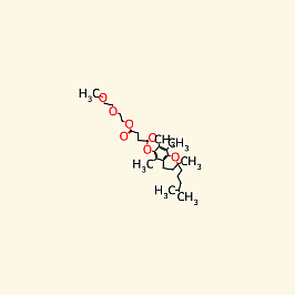 COCCOCCOC(=O)CCC(=O)Oc1c(C)c(C)c2c(c1C)CCC(C)(CCCC(C)C)O2